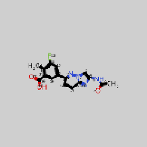 CC(=O)Nc1cn2nc(-c3cc(F)c(C)c(C(=O)O)c3)ccc2n1